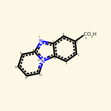 O=C(O)c1ccc2c(c1)nc1ccccn12